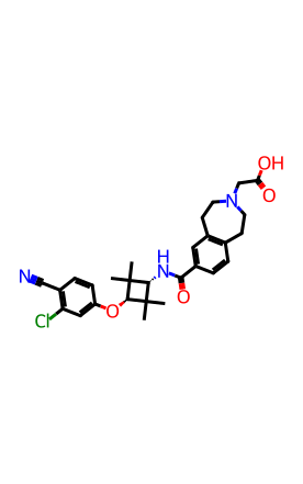 CC1(C)[C@H](NC(=O)c2ccc3c(c2)CCN(CC(=O)O)CC3)C(C)(C)[C@H]1Oc1ccc(C#N)c(Cl)c1